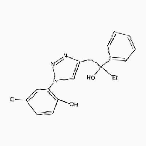 CCC(O)(Cc1cn(-c2cc(Cl)ccc2O)nn1)c1ccccc1